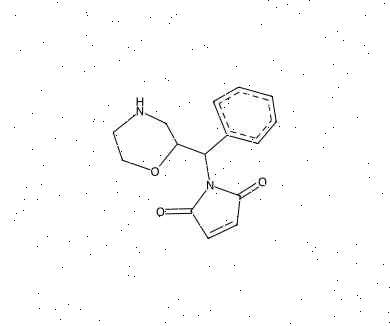 O=C1C=CC(=O)N1C(c1ccccc1)C1CNCCO1